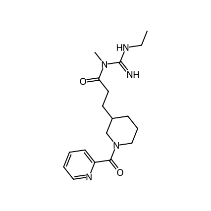 CCNC(=N)N(C)C(=O)CCC1CCCN(C(=O)c2ccccn2)C1